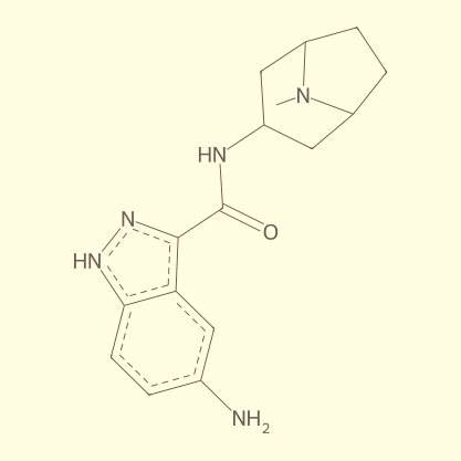 CN1C2CCC1CC(NC(=O)c1n[nH]c3ccc(N)cc13)C2